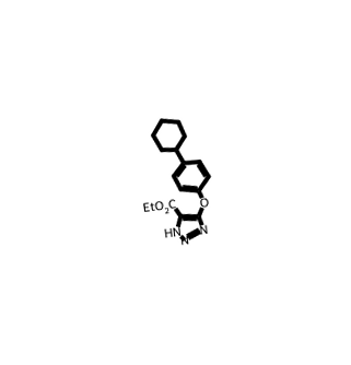 CCOC(=O)c1[nH]nnc1Oc1ccc(C2CCCCC2)cc1